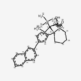 CCC(C(=O)O)([C@]1(c2ccc(-c3cnc4ccccc4c3)s2)CCCCS1(=O)=O)[Si](C)(C)C